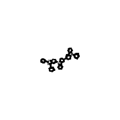 C1=C(n2c3ccccc3c3cc(-c4ccc5c(c4)c4ccccc4n5-c4ccccc4)ccc32)CCc2nc(-c3ccccc3)nc(-c3ccccc3)c21